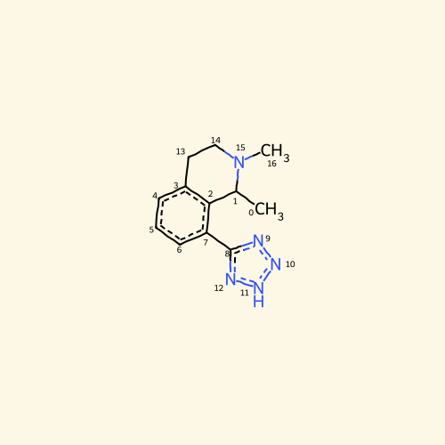 CC1c2c(cccc2-c2nn[nH]n2)CCN1C